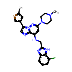 CN1CCN(c2cc(NCc3nc4cccc(Cl)c4[nH]3)c3ncc(-c4csc(C#N)c4)n3n2)CC1